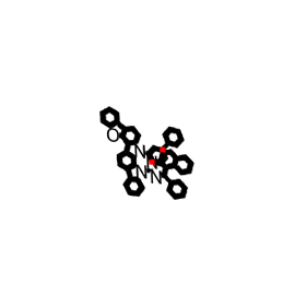 c1ccc(-c2cccc(-n3c4ccc5c6ccccc6oc5c4c4ccc5c6ccccc6n(-c6nc(-c7ccccc7)c7c(ccc8ccccc87)n6)c5c43)c2)cc1